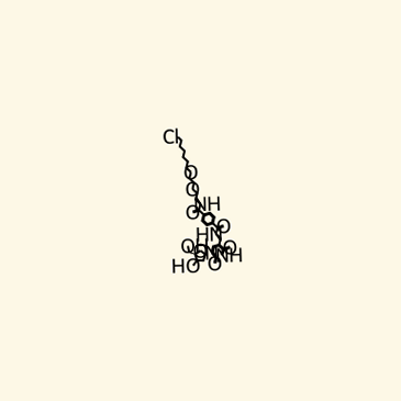 O=C(NCCOCCOCCCCCCCl)c1ccc(C(=O)NCc2cn([C@H]3CC(O)[C@@H](CO)O3)c(=O)[nH]c2=O)cc1